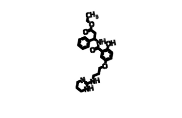 CCOC(=O)CC(NC(=O)c1cc(OCCCNC2=NCCCN2)ccc1O)c1ccccc1